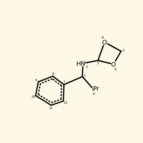 CC(C)C(NC1OCO1)c1ccccc1